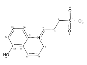 O=S(=O)([O-])CCC=[N+]1CC=Cc2c(O)cccc21